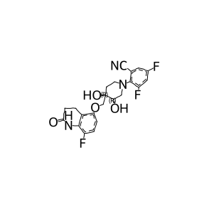 N#Cc1cc(F)cc(F)c1N1CC[C@@](O)(COc2ccc(F)c3c2CCC(=O)N3)[C@H](O)C1